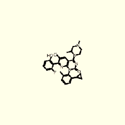 Cc1cccc(C2CC2)c1-n1c(=O)nc(N2CCN(C)CC2C)c2cc(Cl)c(-c3c(O)cccc3F)nc21